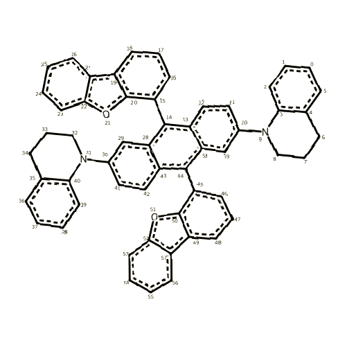 c1ccc2c(c1)CCCN2c1ccc2c(-c3cccc4c3oc3ccccc34)c3cc(N4CCCc5ccccc54)ccc3c(-c3cccc4c3oc3ccccc34)c2c1